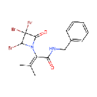 CC(C)=C(C(=O)NCc1ccccc1)N1C(=O)C(Br)(Br)C1Br